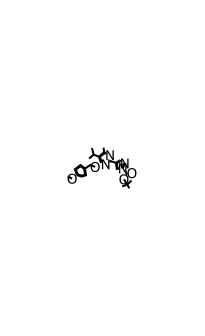 COc1ccc(COc2nc(-c3cnn(C(=O)OC(C)(C)C)c3)nc(C)c2C(C)C)cc1